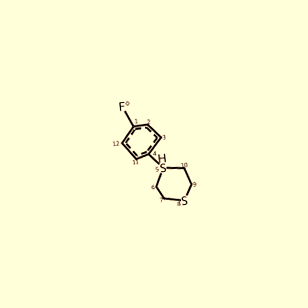 Fc1ccc([SH]2CCSCC2)cc1